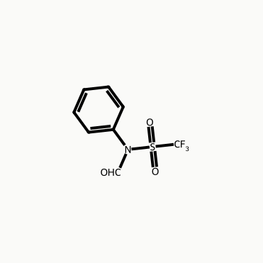 O=CN(c1ccccc1)S(=O)(=O)C(F)(F)F